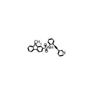 Cn1c2ccccc2c2ccc(S(=O)(=O)Nc3ccccc3C#Cc3cccnc3)cc21